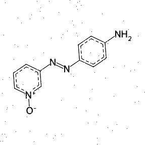 Nc1ccc(N=Nc2ccc[n+]([O-])c2)cc1